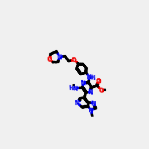 CNc1nc(Nc2ccc(OCCN3CCOCC3)cc2)c(C(=O)OC)nc1-c1cncc2c1ncn2C